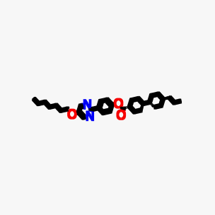 CCCCCCCOc1cnc(-c2ccc(OC(=O)[C@H]3CC[C@H]([C@H]4CC[C@H](CCC)CC4)CC3)cc2)nc1